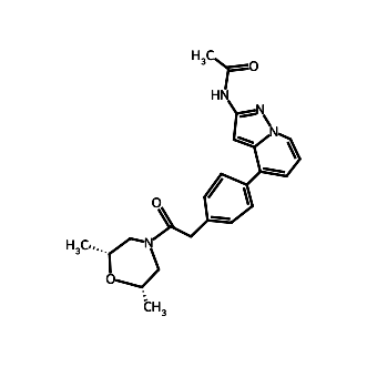 CC(=O)Nc1cc2c(-c3ccc(CC(=O)N4C[C@@H](C)O[C@@H](C)C4)cc3)cccn2n1